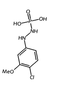 COc1cc(NNP(=O)(O)O)ccc1Cl